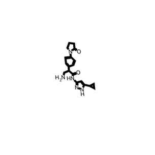 NCC(C(=O)Nc1cc(C2CC2)[nH]n1)c1ccc(N2CCCC2=O)cc1